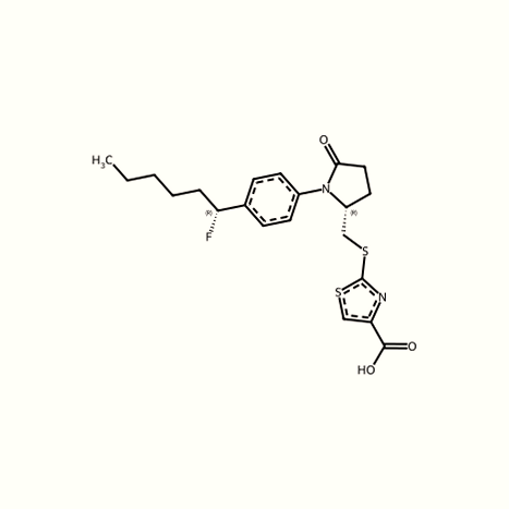 CCCCC[C@@H](F)c1ccc(N2C(=O)CC[C@@H]2CSc2nc(C(=O)O)cs2)cc1